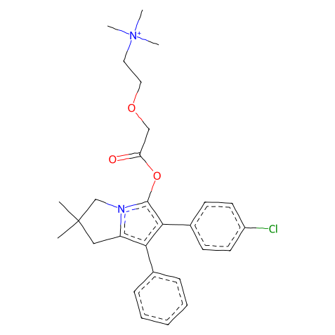 CC1(C)Cc2c(-c3ccccc3)c(-c3ccc(Cl)cc3)c(OC(=O)COCC[N+](C)(C)C)n2C1